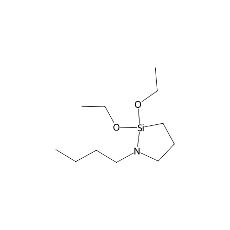 CCCCN1CCC[Si]1(OCC)OCC